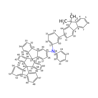 CC1(C)c2ccccc2-c2ccc(-c3cccc(N(c4ccccc4)c4ccc5c(c4)-c4ccccc4C54c5ccccc5C5(c6ccccc6-c6ccccc65)c5ccccc54)c3)cc21